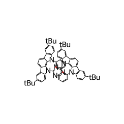 CC(C)(C)c1ccc2c(c1)c1ccc3c4cc(C(C)(C)C)ccc4n(-c4ncnc(-n5c6ccc(C(C)(C)C)cc6c6ccc7c8cc(C(C)(C)C)ccc8n(-c8ccccc8)c7c65)n4)c3c1n2-c1ccccc1